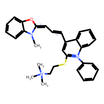 CN1/C(=C\C=C\c2cc(SCC[N+](C)(C)C)[n+](-c3ccccc3)c3ccccc23)Oc2ccccc21